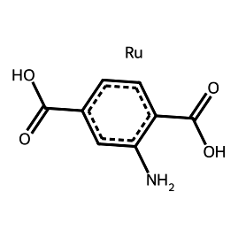 Nc1cc(C(=O)O)ccc1C(=O)O.[Ru]